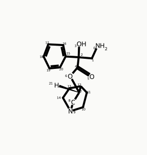 NCC(O)(C(=O)O[C@H]1CN2CCC1CC2)c1ccccc1